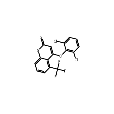 FC(F)(F)c1cccc2sc(=S)cc(Oc3c(Cl)cccc3Cl)c12